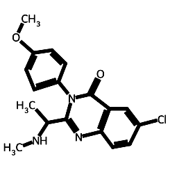 CNC(C)c1nc2ccc(Cl)cc2c(=O)n1-c1ccc(OC)cc1